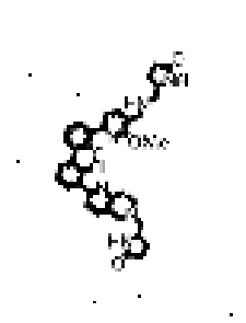 COc1nc(-c2cccc(-c3cccc(-c4ccc5c(n4)CCN(CC4CCC(=O)N4)C5)c3Cl)c2Cl)ccc1CNCC1CCC(=O)N1